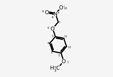 COc1ccc(OC[N+](=O)[O-])cc1